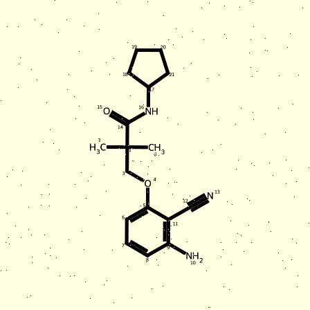 CC(C)(COc1cccc(N)c1C#N)C(=O)NC1CCCC1